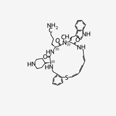 CN1C(=O)[C@H](CCCCN)NC(=O)[C@H](C2CCNCC2)NCc2ccccc2SC=CC=CC=CCNC(=O)[C@@H]1Cc1c[nH]c2ccccc12